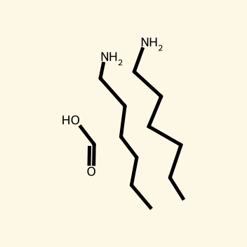 CCCCCCN.CCCCCCN.O=CO